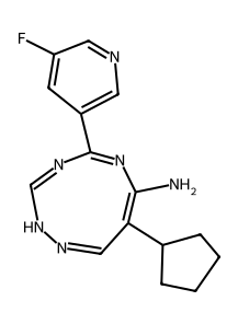 Nc1nc(-c2cncc(F)c2)nc[nH]ncc1C1CCCC1